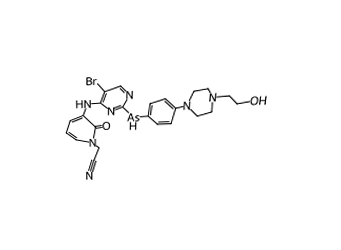 N#CCn1cccc(Nc2nc([AsH]c3ccc(N4CCN(CCO)CC4)cc3)ncc2Br)c1=O